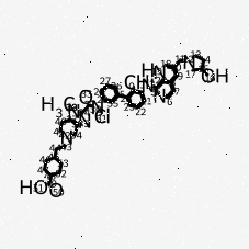 Cc1c(Nc2nccc3cc(CN4CCC(O)C4)cnc23)cccc1-c1cccc(N(Cl)C(=O)c2nc3c(n2C)CCN(CCC2CCC(C(=O)O)CC2)C3)c1